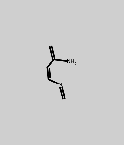 C=N/C=C\C(=C)N